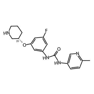 Cc1ccc(NC(=O)Nc2cc(F)cc(O[C@H]3CCCNC3)c2)cn1